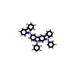 c1ccc(-n2c3ccccc3c3cc4c5cc(-n6c7ccccc7c7ccccc76)ccc5n(-c5ccccc5)c4cc32)cc1